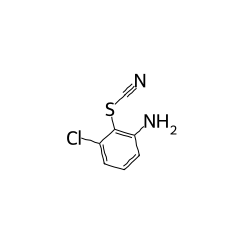 N#CSc1c(N)cccc1Cl